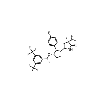 CN[C@]1(C)C[C@H]([C@@H]2CC[C@H](O[C@H](C)c3cc(C(F)(F)F)cc(C(F)(F)F)c3)[C@H]2c2ccc(F)cc2)NC1=O